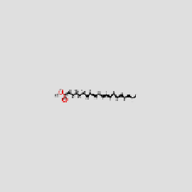 CCCCCCCCCCCC=CCCCCCCC(=O)OC